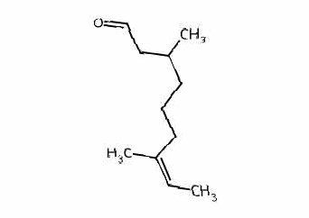 CC=C(C)CCCC(C)CC=O